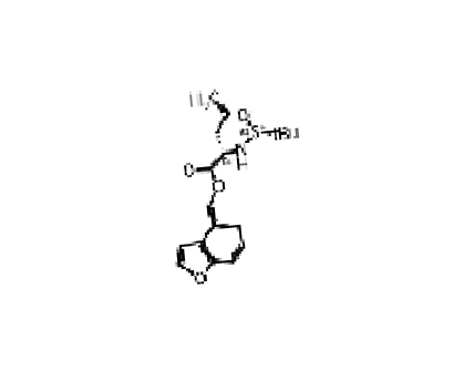 C=CC[C@H](N[S@@+]([O-])C(C)(C)C)C(=O)OC=C1CC=Cc2occc21